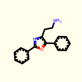 NCCc1nc(-c2ccccc2)oc1-c1ccccc1